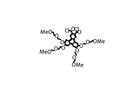 COCCOCCOc1cc2c3cc(OCCOCCOC)c(OCCOCCOC)cc3c3cc(C(=O)Cl)c(C(=O)Cl)cc3c2cc1OCCOCCOC